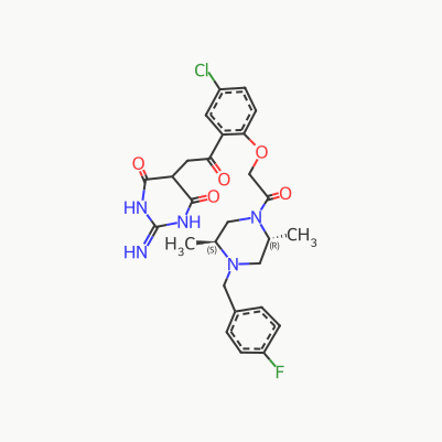 C[C@@H]1CN(Cc2ccc(F)cc2)[C@@H](C)CN1C(=O)COc1ccc(Cl)cc1C(=O)CC1C(=O)NC(=N)NC1=O